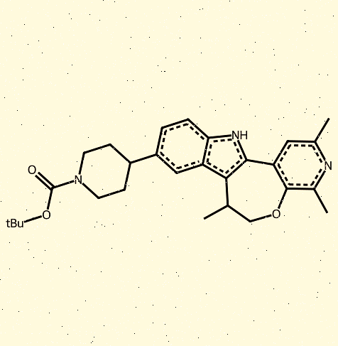 Cc1cc2c(c(C)n1)OCC(C)c1c-2[nH]c2ccc(C3CCN(C(=O)OC(C)(C)C)CC3)cc12